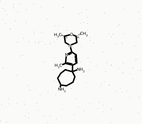 Cc1nc(N2C[C@@H](C)O[C@@H](C)C2)ccc1C1(N)CCCC(N)CCC1